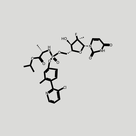 Cc1cc(OP(=O)(N[C@@H](C)C(=O)OC(C)C)OC[C@H]2O[C@@H](n3ccc(=O)[nH]c3=O)[C@](C)(F)[C@@H]2O)ccc1-c1ncccc1Cl